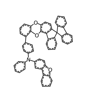 c1ccc(N(c2ccc(-c3cccc4c3Oc3c(ccc5c3-c3ccccc3C53c5ccccc5-c5ccccc53)O4)cc2)c2ccc3oc4ccccc4c3c2)cc1